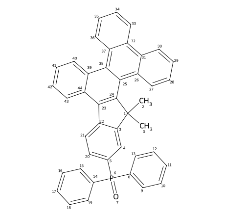 CC1(C)c2cc(P(=O)(c3ccccc3)c3ccccc3)ccc2-c2c1c1c3ccccc3c3ccccc3c1c1ccccc21